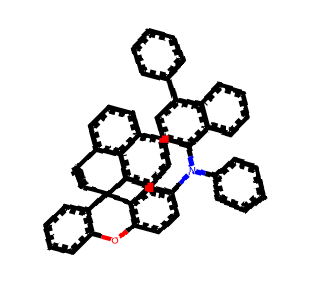 c1ccc(-c2ccc(N(c3ccccc3)c3ccc4c(c3)C3(c5ccccc5O4)c4ccccc4-c4cccc5cccc3c45)c3ccccc23)cc1